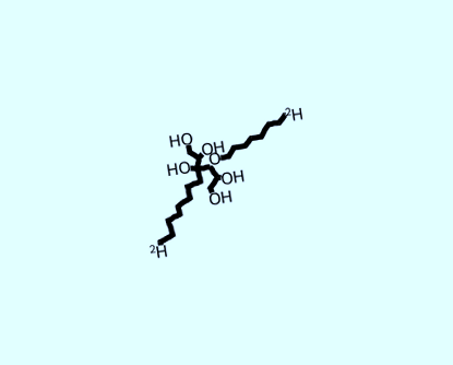 [2H]CCCCCCCCOC(C(O)CO)C(O)(CCCCCCCC[2H])C(O)CO